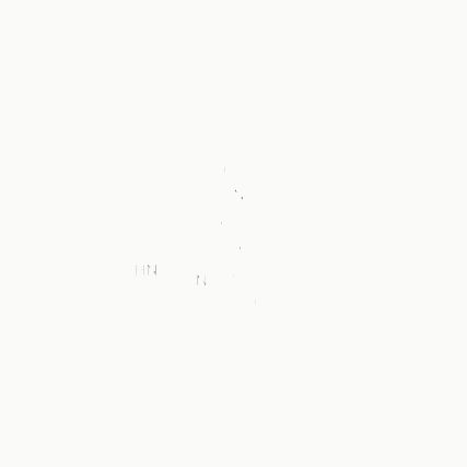 O=C(OCc1ccccc1[N+](=O)[O-])[n+]1cc[nH]c1